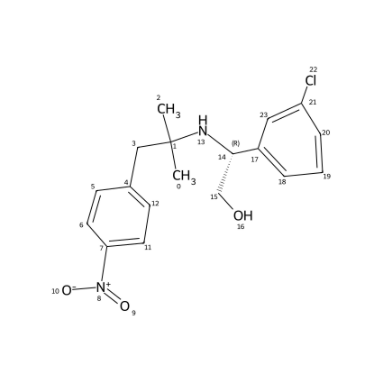 CC(C)(Cc1ccc([N+](=O)[O-])cc1)N[C@@H](CO)c1cccc(Cl)c1